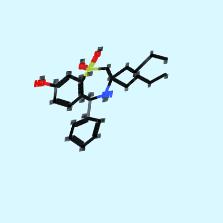 CCCCC1(CCCC)CS(=O)(=O)c2cc(O)ccc2C(c2ccccc2)N1